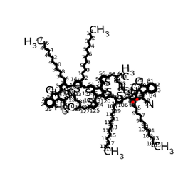 CCCCCCCCCCCCCc1cc(-c2sc(C3C(=O)c4ccccc4C3=C(C#N)C#N)cc2CCCCCCCCCCCC)sc1-c1cc2c(-c3ccc(CC(CC)CCCC)s3)c3sc(-c4sc(-c5sc(C6(C)C(=O)c7ccccc7C6=C(C#N)C#N)cc5CCCCCCCCCCCC)cc4CCCCCCCCCCCC)cc3c(-c3ccc(CC(CC)CCCC)s3)c2s1